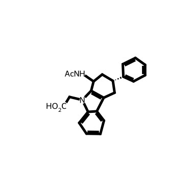 CC(=O)NC1C[C@H](c2ccccc2)Cc2c1n(CC(=O)O)c1ccccc21